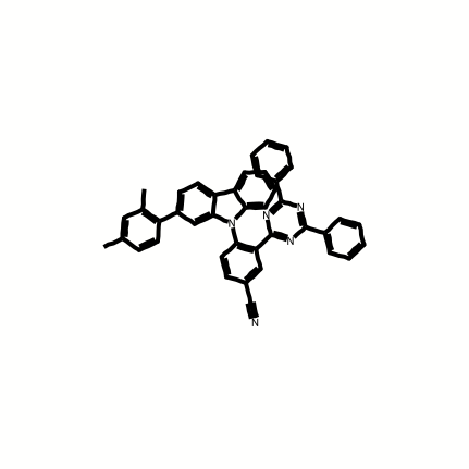 Cc1ccc(-c2ccc3c4ccccc4n(-c4ccc(C#N)cc4-c4nc(-c5ccccc5)nc(-c5ccccc5)n4)c3c2)c(C)c1